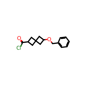 O=C(Cl)C1CC2(CC(OCc3ccccc3)C2)C1